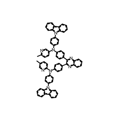 Cc1ccc(N(c2ccc(-c3nc4ccccc4nc3-c3ccc(N(c4ccc(-n5c6ccccc6c6ccccc65)cc4)c4ccc(C)nc4)cc3)cc2)c2ccc(-n3c4ccccc4c4ccccc43)cc2)nc1